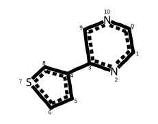 [c]1cnc(-c2ccsc2)cn1